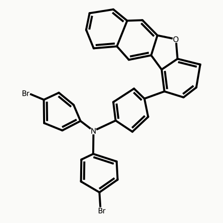 Brc1ccc(N(c2ccc(Br)cc2)c2ccc(-c3cccc4oc5cc6ccccc6cc5c34)cc2)cc1